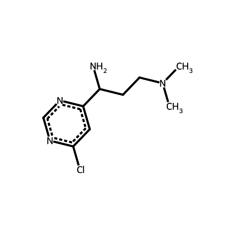 CN(C)CCC(N)c1cc(Cl)ncn1